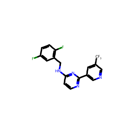 Fc1ccc(F)c(CNc2ccnc(-c3cncc(C(F)(F)F)c3)n2)c1